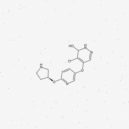 OC1NN=CC(Oc2ccc(O[C@H]3CCNC3)nc2)=C1Cl